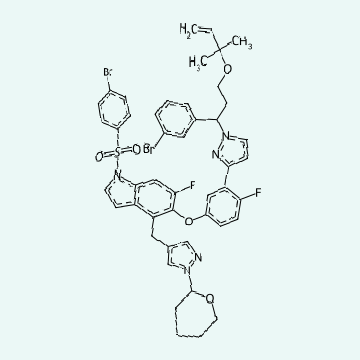 C=CC(C)(C)OCCC(c1cccc(Br)c1)n1ccc(-c2cc(Oc3c(F)cc4c(ccn4S(=O)(=O)c4ccc(Br)cc4)c3Cc3cnn(C4CCCCO4)c3)ccc2F)n1